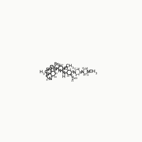 COc1cc(N2CCC(N3CCN(C)CC3)CC2)c(C2CC2)cc1Nc1ncc(Br)c(Nc2ccc3nccnc3c2N(C)SC)n1